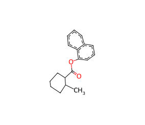 CC1CCCCC1C(=O)Oc1cccc2ccccc12